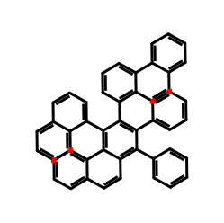 c1ccc(-c2c(-c3cccc4c3ccc3ccccc34)c(-c3cccc4ccccc34)c3c(ccc4ccccc43)c2-c2ccccc2)cc1